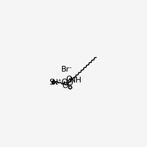 CCCCCCCCCCCCCCCCCCNC(=O)OCC(OC(=O)CCCC[n+]1ccsc1)C1CCCC1.[Br-]